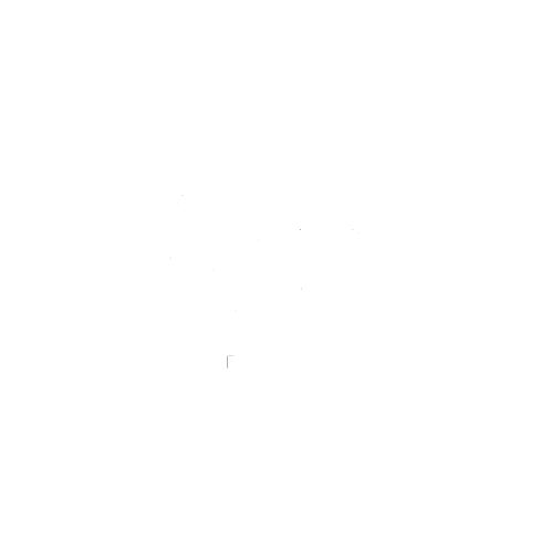 O=C1C2CC3CC(C2)C(F)C1C3